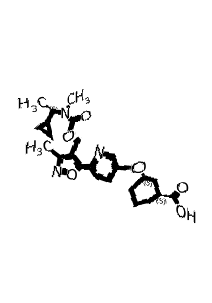 Cc1noc(-c2ccc(O[C@H]3CCC[C@H](C(=O)O)C3)cn2)c1COC(=O)N(C)[C@@H](C)C1CC1